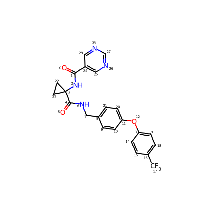 O=C(NC1(C(=O)NCc2ccc(Oc3ccc(C(F)(F)F)cc3)cc2)CC1)c1cncnc1